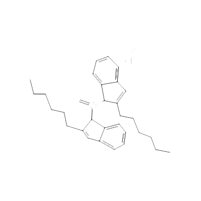 [CH2]=[Zr+2]([CH]1C(CCCCCC)=Cc2ccccc21)[CH]1C(CCCCCC)=Cc2ccccc21.[Cl-].[Cl-]